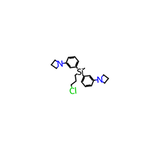 C[Si](CCCCl)(c1cccc(N2CCC2)c1)c1cccc(N2CCC2)c1